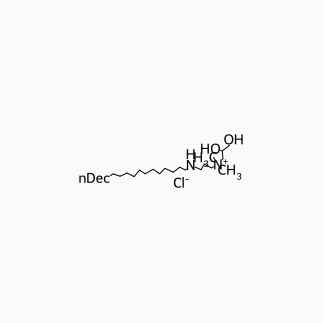 CCCCCCCCCCCCCCCCCCCCCCNCCC[N+](C)(C)CC(O)CO.[Cl-]